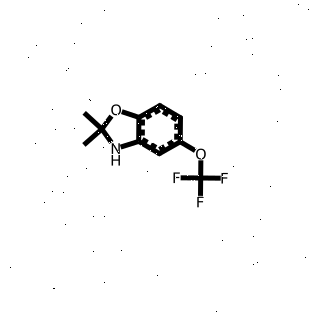 CC1(C)Nc2cc(OC(F)(F)F)ccc2O1